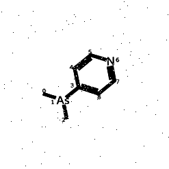 C[As](C)c1ccncc1